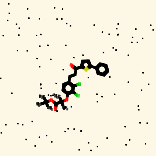 CC(C)(C)OC(=O)C(C)(C)Oc1ccc(CCC(=O)c2ccc(-c3ccccc3)s2)c(Cl)c1Cl